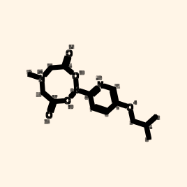 CC(C)COc1ccc(B2OC(=O)CN(C)CC(=O)O2)nc1